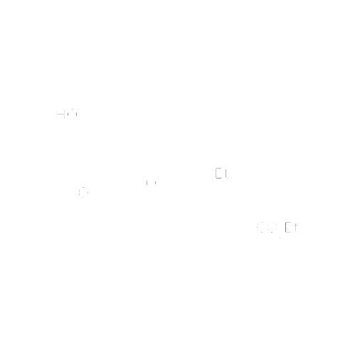 CCOC(=O)C(CC)CC(C)OC(=O)CO